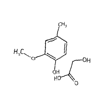 COc1cc(C)ccc1O.O=C(O)CO